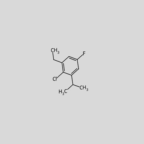 CCc1cc(F)cc(C(C)C)c1Cl